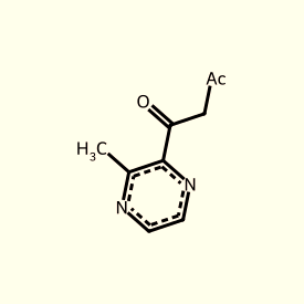 CC(=O)CC(=O)c1nccnc1C